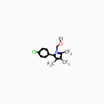 CCOCn1c(-c2ccc(Cl)cc2)c(C(F)(F)F)c(C(F)(F)F)c1C(F)(F)F